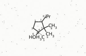 CC(C)C1CC[C@](C)(O)C1(C)C